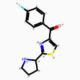 O=C(c1ccc(F)cc1)c1csc(C2CCCN2)n1